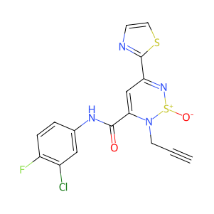 C#CCN1C(C(=O)Nc2ccc(F)c(Cl)c2)=CC(c2nccs2)=N[S+]1[O-]